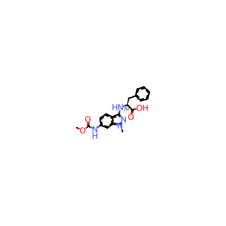 COC(=O)Nc1ccc2c(N[C@@H](Cc3ccccc3)C(=O)O)nn(C)c2c1